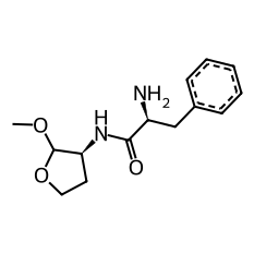 COC1OCC[C@@H]1NC(=O)[C@@H](N)Cc1ccccc1